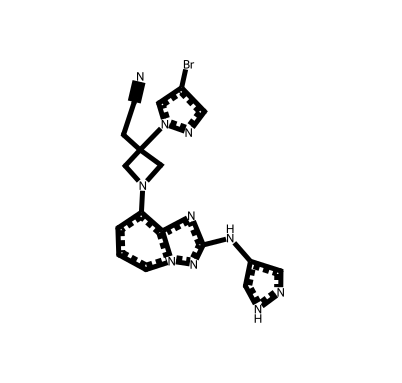 N#CCC1(n2cc(Br)cn2)CN(c2cccn3nc(Nc4cn[nH]c4)nc23)C1